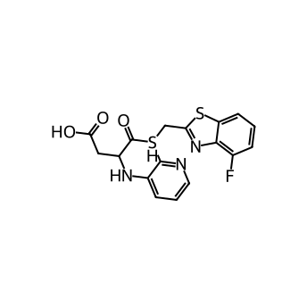 O=C(O)CC1Nc2cccnc2[SH](Cc2nc3c(F)cccc3s2)C1=O